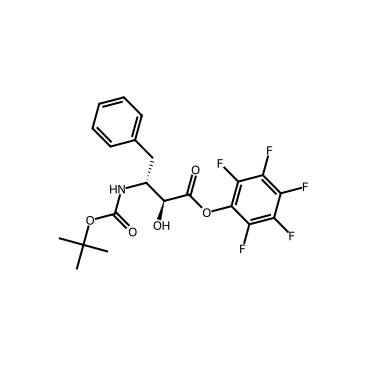 CC(C)(C)OC(=O)N[C@H](Cc1ccccc1)[C@H](O)C(=O)Oc1c(F)c(F)c(F)c(F)c1F